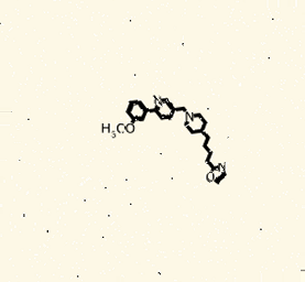 COc1cccc(-c2ccc(CN3CCC(CCCCc4ncco4)CC3)cn2)c1